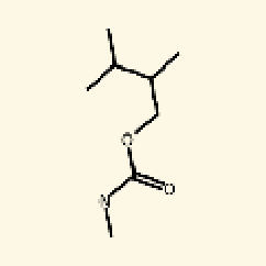 C[N]C(=O)OCC(C)C(C)C